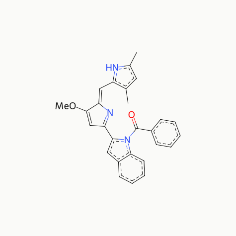 COC1=CC(c2cc3ccccc3n2C(=O)c2ccccc2)=N/C1=C\c1[nH]c(C)cc1C